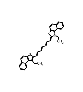 CCc1c(C=CC=CC=CC=C2Sc3ccc4ccccc4c3N2CC)sc2ccc3ccccc3c12